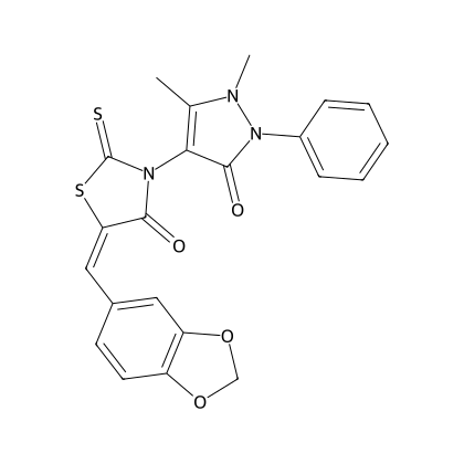 Cc1c(N2C(=O)C(=Cc3ccc4c(c3)OCO4)SC2=S)c(=O)n(-c2ccccc2)n1C